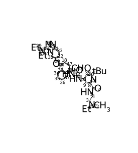 CCN(C)CCNC(=O)c1cc(NC(=O)N[C@@]2(C=O)C=C[C@@H](Oc3ccc4nnc(N(CC)CC)n4c3)c3ccccc32)cc(C(C)(C)C)n1